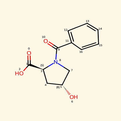 O=C(O)[C@@H]1C[C@@H](O)CN1C(=O)c1ccccc1